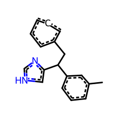 Cc1cccc(C(Cc2ccccc2)c2c[nH]cn2)c1